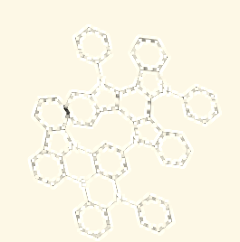 c1ccc(N2c3ccccc3B3c4c2cc(-n2c5ccccc5c5c6c(c7ccccc7n6-c6ccccc6)c6c(c7ccccc7n6-c6ccccc6)c52)cc4-n2c4ccccc4c4cccc3c42)cc1